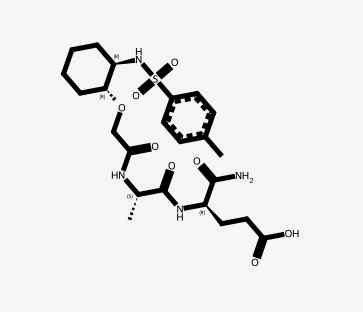 Cc1ccc(S(=O)(=O)N[C@@H]2CCCC[C@H]2OCC(=O)N[C@@H](C)C(=O)N[C@H](CCC(=O)O)C(N)=O)cc1